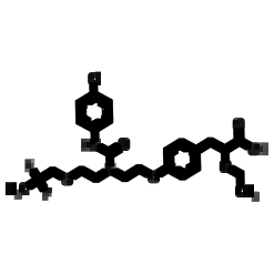 CCOC(Cc1ccc(OCCN(CCOCC(C)(F)F)C(=O)Nc2ccc(Cl)cc2)cc1)C(=O)O